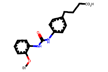 CCOc1ccccc1NC(=O)Nc1ccc(CCCC(=O)O)cc1